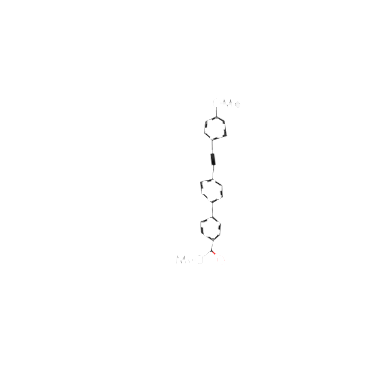 COC(=O)c1ccc(-c2ccc(C#Cc3ccc(OC)cc3)cc2)cc1